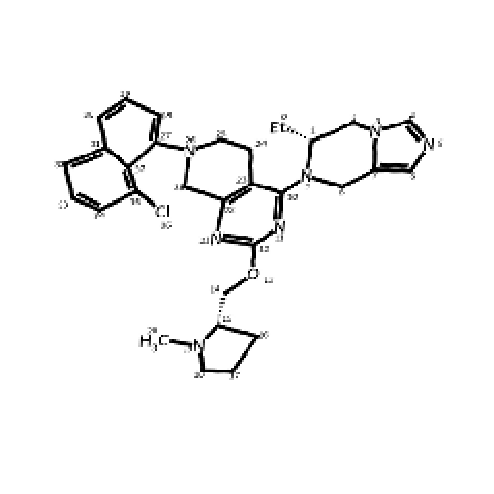 CC[C@@H]1Cn2cncc2CN1c1nc(OC[C@@H]2CCCN2C)nc2c1CCN(c1cccc3cccc(Cl)c13)C2